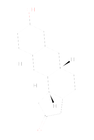 C[C@@]12CC[C@H]3CC4CC(O)CC[C@@H]4C[C@@H]3[C@H]1CC(=O)C2